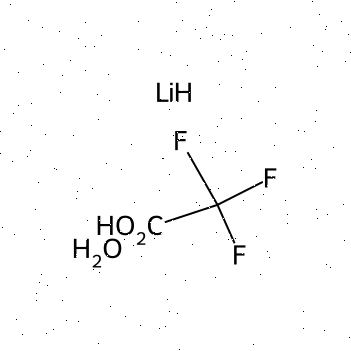 O.O=C(O)C(F)(F)F.[LiH]